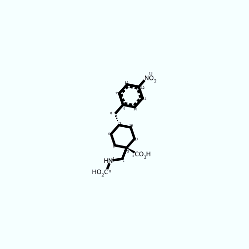 O=C(O)NC[C@]1(C(=O)O)CC[C@H](Cc2ccc([N+](=O)[O-])cc2)CC1